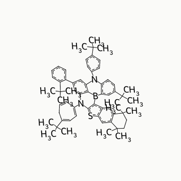 CC(C)(C)C1=CC=C(N2c3cc(-c4ccccc4C(C)(C)C)cc4c3B(c3cc(C(C)(C)C)ccc3N4c3ccc(C(C)(C)C)cc3)c3c2sc2cc4c(cc32)C(C)(C)CCC4(C)C)C=CC1